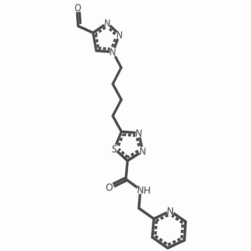 O=Cc1cn(CCCCc2nnc(C(=O)NCc3ccccn3)s2)nn1